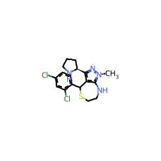 Cn1nc([C@@H]2CCCN2)c2c1NCCSC2c1ccc(Cl)cc1Cl